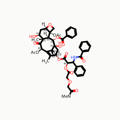 CNC(=O)COCC(=O)O[C@@H](C(=O)O[C@H]1C[C@@]2(O)[C@@H](OC(=O)c3ccccc3)[C@@H]3[C@]4(OC(C)=O)CO[C@@H]4C[C@H](O)[C@@]3(C)C(=O)[C@H](OC(C)=O)C(=C1C)C2(C)C)C(NC(=O)c1ccccc1)c1ccccc1